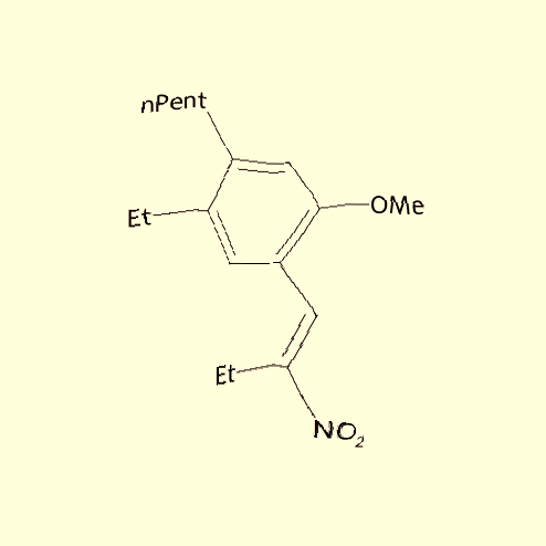 CCCCCc1cc(OC)c(/C=C(\CC)[N+](=O)[O-])cc1CC